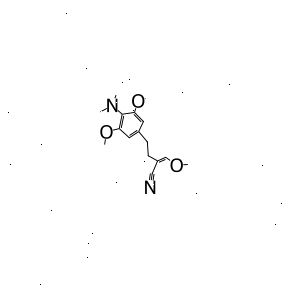 COC=C(C#N)CCc1cc(OC)c(N(C)C)c(OC)c1